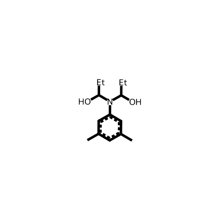 CCC(O)N(c1cc(C)cc(C)c1)C(O)CC